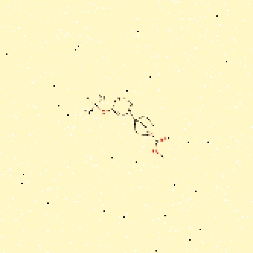 [2H]C([2H])([2H])Oc1cccc(C23CCC(C(=O)OC)(CC2)CC3)c1